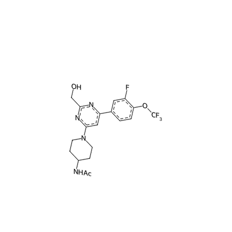 CC(=O)NC1CCN(c2cc(-c3ccc(OC(F)(F)F)c(F)c3)nc(CO)n2)CC1